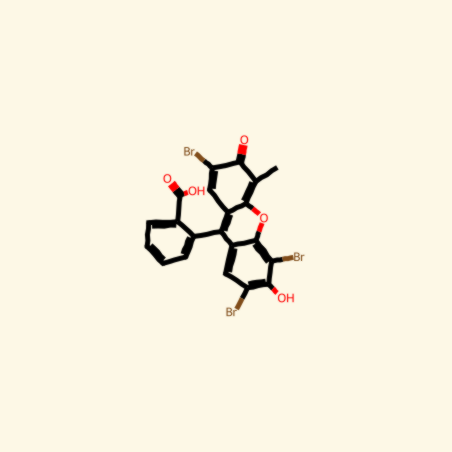 Cc1c2oc3c(Br)c(O)c(Br)cc3c(-c3ccccc3C(=O)O)c-2cc(Br)c1=O